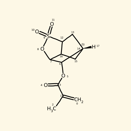 C=C(C)C(=O)OC1C2OS(=O)(=O)C3C[C@@H]1CC23